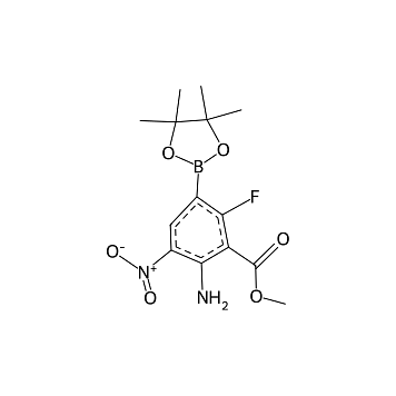 COC(=O)c1c(N)c([N+](=O)[O-])cc(B2OC(C)(C)C(C)(C)O2)c1F